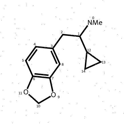 CNC(Cc1ccc2c(c1)OCO2)C1CC1